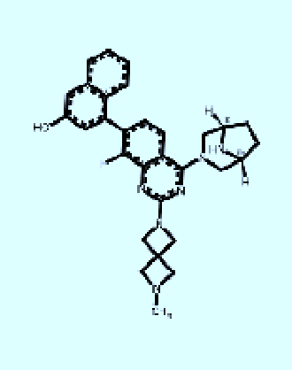 CN1CC2(C1)CN(c1nc(N3C[C@H]4CC[C@@H](C3)N4)c3ccc(-c4cc(O)cc5ccccc45)c(F)c3n1)C2